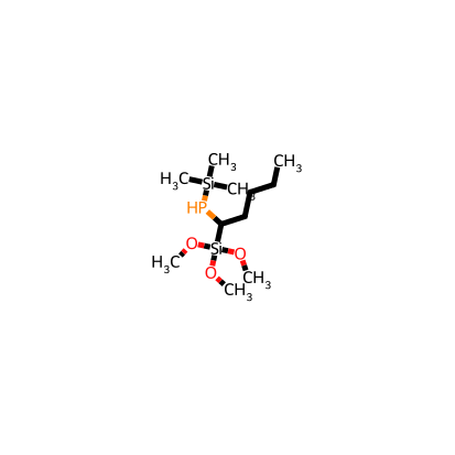 CCCCC(P[Si](C)(C)C)[Si](OC)(OC)OC